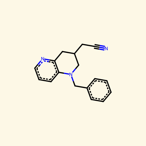 N#CCC1Cc2ncccc2N(Cc2ccccc2)C1